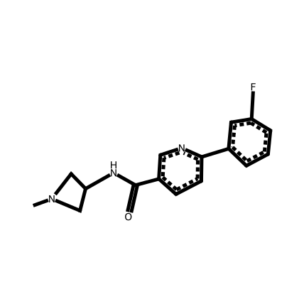 CN1CC(NC(=O)c2ccc(-c3cccc(F)c3)nc2)C1